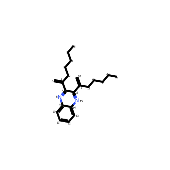 C=C(CCCCC)c1nc2ccccc2nc1C(=C)CCCCC